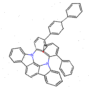 C1=CC(c2ccccc2)CC=C1c1ccc(-n2c3ccccc3c3ccc4c5ccccc5n(-c5ccccc5-c5ccccc5)c4c32)cc1